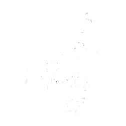 CC(C)(C)c1ccc(CCC(OC(=O)COCC(=O)O)C2CCCCC2)cc1NC(=O)CC1c2ccccc2Oc2ccccc21